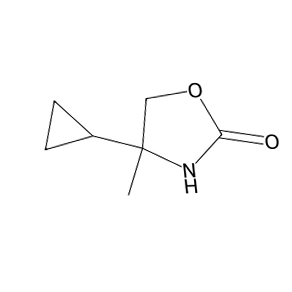 CC1(C2CC2)COC(=O)N1